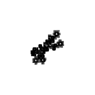 Cn1nnnc1SCC1(C(=O)OC(c2ccccc2)c2ccccc2)CS[C@@H]2C(NC(=O)C(=CCC(=O)OCc3ccccc3)c3csc(NC(=O)OCc4ccccc4)n3)C(=O)N2C1